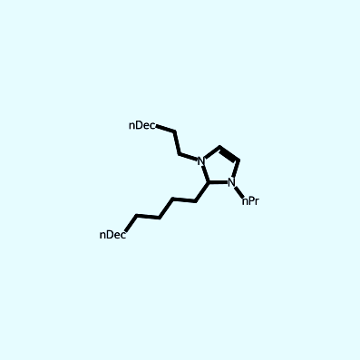 CCCCCCCCCCCCCCC1N(CCC)C=CN1CCCCCCCCCCCC